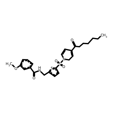 CCCCCCC(=O)C1=CCN(S(=O)(=O)c2ccc(CNC(=O)c3cccc(OC)c3)s2)C=C1